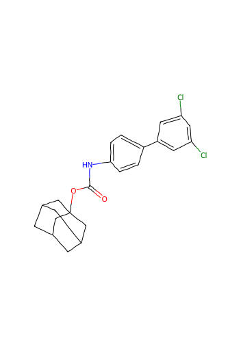 O=C(Nc1ccc(-c2cc(Cl)cc(Cl)c2)cc1)OC12CC3CC(CC(C3)C1)C2